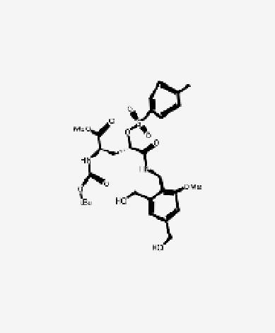 COC(=O)[C@@H](C[C@H](OS(=O)(=O)c1ccc(C)cc1)C(=O)NCc1c(CO)cc(CO)cc1OC)NC(=O)OC(C)(C)C